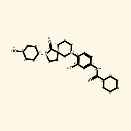 O=C(Nc1ccc(N2CCC[C@]3(CCN([C@H]4CC[C@H](O)CC4)C3=O)C2)c(F)c1)C1CCCCC1